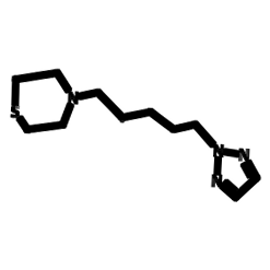 [CH](CCCn1nccn1)CN1CCSCC1